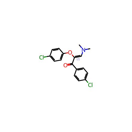 CN(C)/C=C(\Oc1ccc(Cl)cc1)C(=O)c1ccc(Cl)cc1